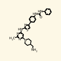 Cc1nc(Nc2nc(-c3ccc(NC(=O)Nc4ccccc4)cc3)cs2)cc(N2CCC(CN)CC2)n1